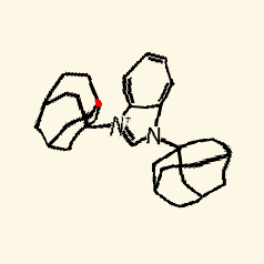 c1ccc2c(c1)n(C13CC4CC(CC(C4)C1)C3)c[n+]2C12CC3CC(CC(C3)C1)C2